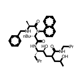 CCCC[C@@H](C(=O)N[C@@H](CC(C)C)[C@@H](O)CC(CC(C)O)C(=O)NCC(C)C)N(C(=O)[C@H](C)NCc1ccccc1)c1cccc2ccccc12